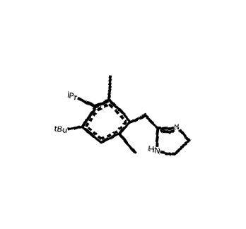 Cc1cc(C(C)(C)C)c(C(C)C)c(C)c1CC1=NCCN1